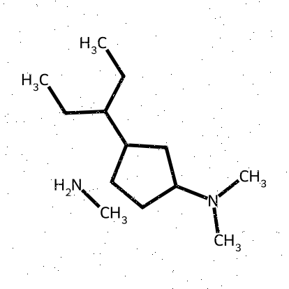 CCC(CC)C1CCC(N(C)C)C1.CN